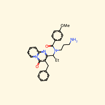 CCC(c1nc2ccccn2c(=O)c1Cc1ccccc1)N(CCCN)C(=O)c1ccc(OC)cc1